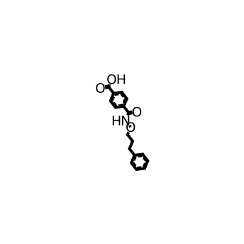 O=C(O)c1ccc(C(=O)NOCCCc2ccccc2)cc1